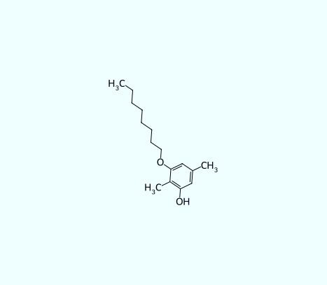 CCCCCCCCOc1cc(C)cc(O)c1C